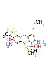 CCCCc1cc(N)c(C(C)(O)C(F)(F)F)cc1Cc1cc(C(C)(O)C(F)(F)F)c(N)cc1CCCC